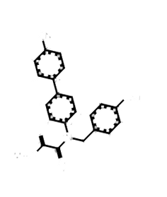 COC(=O)C(=O)N(Cc1ccc(C(C)(C)C)cc1)c1ccc(-c2ccc(C#N)cc2)cc1